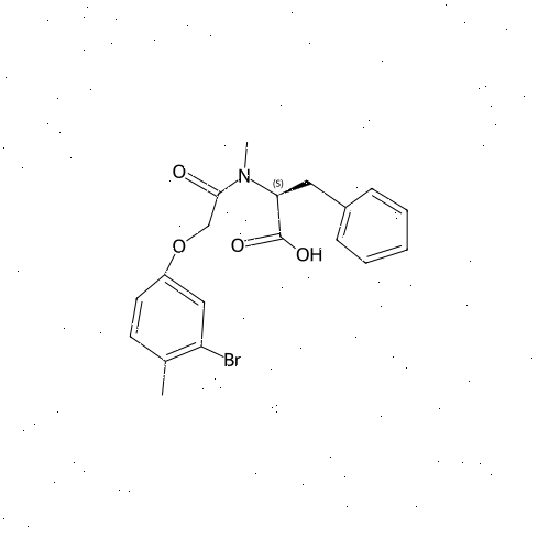 Cc1ccc(OCC(=O)N(C)[C@@H](Cc2ccccc2)C(=O)O)cc1Br